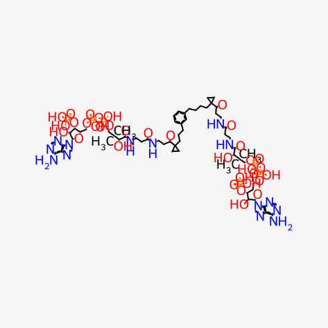 CC(C)(COP(=O)(O)OP(=O)(O)OCC1OC(n2cnc3c(N)ncnc32)C(O)C1OP(=O)(O)O)C(O)C(=O)NCCC(=O)NCCC(=O)C1(CCCCc2cccc(CCCC3(C(=O)CCNC(=O)CCNC(=O)C(O)C(C)(C)COP(=O)(O)OP(=O)(O)OCC4OC(n5cnc6c(N)ncnc65)C(O)C4OP(=O)(O)O)CC3)c2)CC1